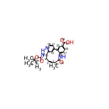 C[C@@H]1C=CC[C@H](NC(=O)OC(C)(C)C)c2cc(ccn2)-c2cc(C(=O)O)ccc2NC1=O